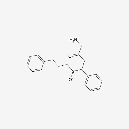 NCC(=O)CC(c1ccccc1)[S+]([O-])CCCc1ccccc1